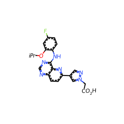 CC(C)Oc1cc(F)ccc1Nc1ncnc2ccc(-c3cnn(CC(=O)O)c3)nc12